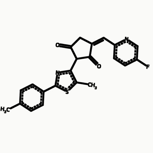 Cc1ccc(-c2nc(C3C(=O)C/C(=C/c4ccc(F)cn4)C3=O)c(C)s2)cc1